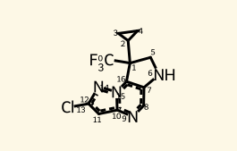 FC(F)(F)C1(C2CC2)CNc2cnc3cc(Cl)nn3c21